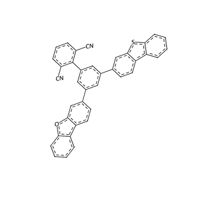 N#Cc1cccc(C#N)c1-c1cc(-c2ccc3c(c2)oc2ccccc23)cc(-c2ccc3c(c2)sc2ccccc23)c1